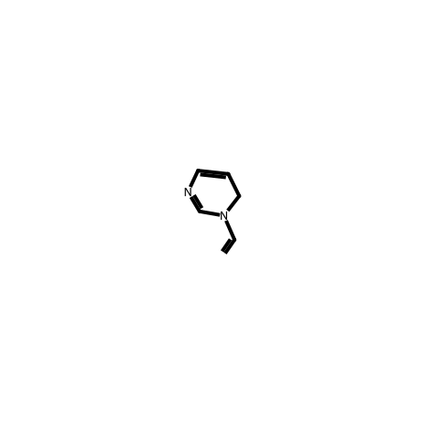 C=CN1C=NC=CC1